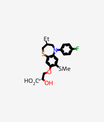 CC[C@@H]1CSc2cc(OC[C@H](O)C(=O)O)c(SC)cc2N(c2ccc(F)cc2)C1